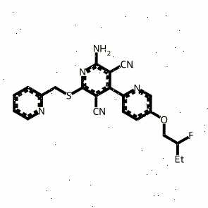 CCC(F)COc1ccc(-c2c(C#N)c(N)nc(SCc3ccccn3)c2C#N)nc1